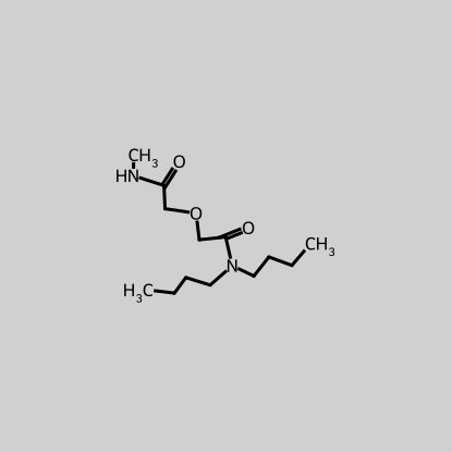 CCCCN(CCCC)C(=O)COCC(=O)NC